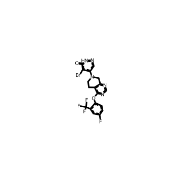 O=c1[nH]ncc(N2CCc3c(ncnc3Oc3ccc(F)cc3C(F)(F)F)C2)c1Br